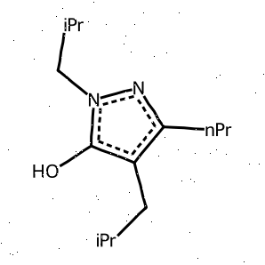 CCCc1nn(CC(C)C)c(O)c1CC(C)C